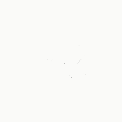 CC(C)(C)OC(=O)Cc1c[nH]c2cccc(O)c12